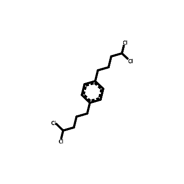 ClC(Cl)CCCc1ccc(CCCC(Cl)Cl)cc1